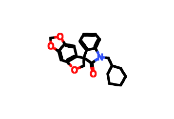 O=C1N(CC2CCCCC2)c2ccccc2C12COc1cc3c(cc12)OCO3